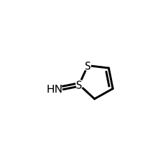 N=S1CC=CS1